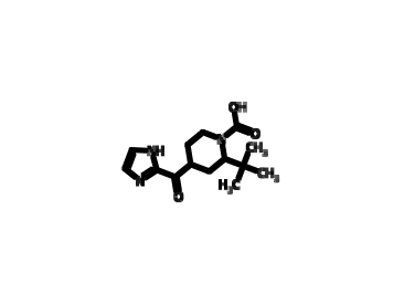 CC(C)(C)C1CC(C(=O)c2ncc[nH]2)CCN1C(=O)O